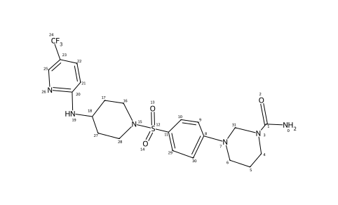 NC(=O)N1CCCN(c2ccc(S(=O)(=O)N3CCC(Nc4ccc(C(F)(F)F)cn4)CC3)cc2)C1